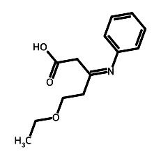 CCOCCC(CC(=O)O)=Nc1ccccc1